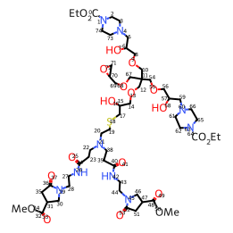 CCOC(=O)N1CCN(CC(O)COCC(COCC(O)CSCCN(CCC(=O)NCCN2CC(C(=O)OC)CC2=O)CCC(=O)NCCN2CC(C(=O)OC)CC2=O)(COCC(O)CN2CCN(C(=O)OCC)CC2)COCC2CO2)CC1